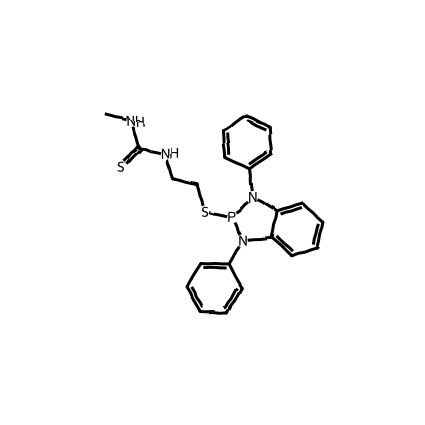 CNC(=S)NCCSP1N(c2ccccc2)c2ccccc2N1c1ccccc1